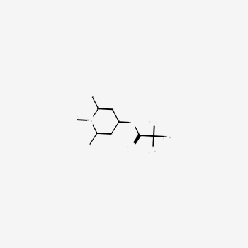 CC1CC(OC(=O)C(Br)(Br)Br)CC(C)N1C